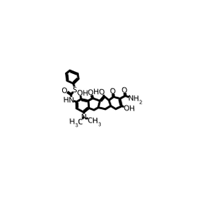 CN(C)c1cc(NC(=O)Sc2ccccc2)c(O)c2c1CC1CC3CC(O)=C(C(N)=O)C(=O)C3C(O)=C1C2=O